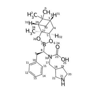 CC1(C)[C@@H]2C[C@H]3OB([C@H](Cc4ccccc4)N(CC4CCNC4)C(=O)O)O[C@@]3(C)[C@H]1C2